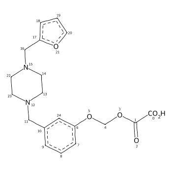 O=C(O)C(=O)OCOc1cccc(CN2CCN(Cc3ccco3)CC2)c1